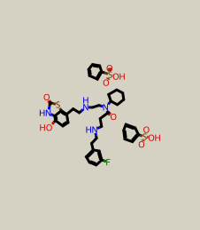 O=C(CCNCCc1cccc(F)c1)N(CCNCCc1ccc(O)c2[nH]c(=O)sc12)C1CCCCC1.O=S(=O)(O)c1ccccc1.O=S(=O)(O)c1ccccc1